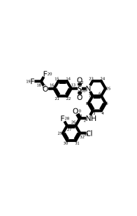 O=C(Nc1ccc2c(c1)N(S(=O)(=O)c1ccc(OC(F)F)cc1)CCC2)c1c(F)cccc1Cl